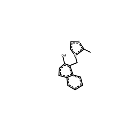 Cc1nccn1Cc1c(O)ccc2ccccc12